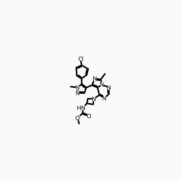 COC(=O)NC1CN(c2ncnn3c(C)nc(-c4cnn(C)c4-c4ccc(Cl)cc4)c23)C1